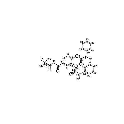 CC(C(=O)Oc1ccc(C(=O)CNC(C)(C)C)cc1OC(=O)C(C)c1ccccc1)c1ccccc1